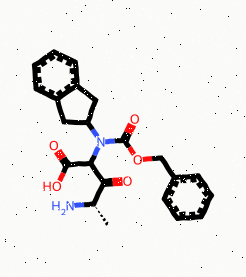 C[C@H](N)C(=O)C(C(=O)O)N(C(=O)OCc1ccccc1)C1Cc2ccccc2C1